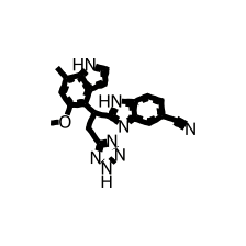 COc1cc(C)c2[nH]ccc2c1C(Cc1nn[nH]n1)c1nc2cc(C#N)ccc2[nH]1